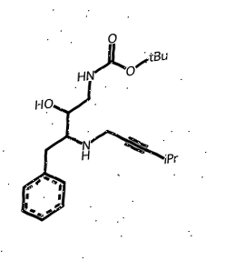 CC(C)C#CCNC(Cc1ccccc1)C(O)CNC(=O)OC(C)(C)C